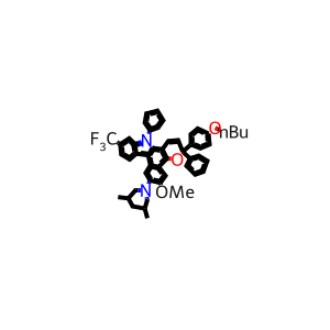 CCCCOc1ccc(C2(c3ccccc3)C=Cc3c(c4cc(OC)c(N5CC(C)CC(C)C5)cc4c4c5ccc(C(F)(F)F)cc5n(-c5ccccc5)c34)O2)cc1